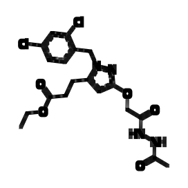 CCOC(=O)CCc1cc(OCC(=O)NNC(C)=O)nn1Cc1ccc(Cl)cc1Cl